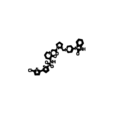 O=C1[C@@H](NS(=O)(=O)c2ccc(-c3ccc(Cl)s3)s2)CCCN1CC(=O)N1CCC[C@H]1CN1CC=C(n2c(=O)[nH]c3ccccc32)CC1